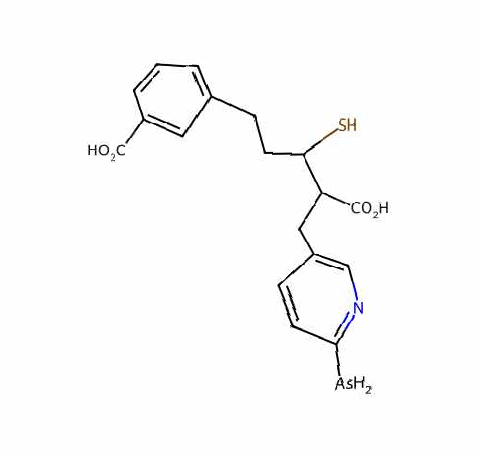 O=C(O)c1cccc(CCC(S)C(Cc2ccc([AsH2])nc2)C(=O)O)c1